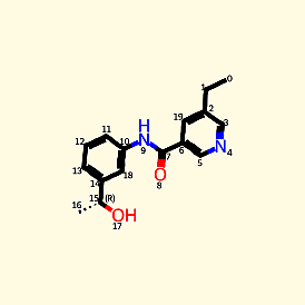 CCc1cncc(C(=O)Nc2cccc([C@@H](C)O)c2)c1